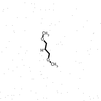 COCCCOC.[H+]